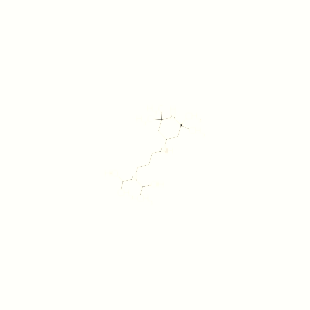 CC(O)N(CCCNC1CC(C)(C)NC(C)(C)C1)C(C)O